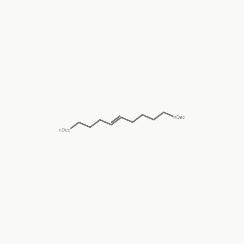 [CH2]CCCCCCCCCCCCC=CCCCCCCCCCCCCC[CH2]